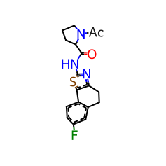 CC(=O)N1CCCC1C(=O)Nc1nc2c(s1)-c1ccc(F)cc1CC2